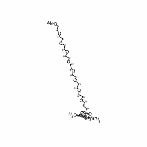 COCCOCCOCCOCCOCCOCCOCCOCCOCCC[Si](C)(O[SiH2]C)O[SiH2]C